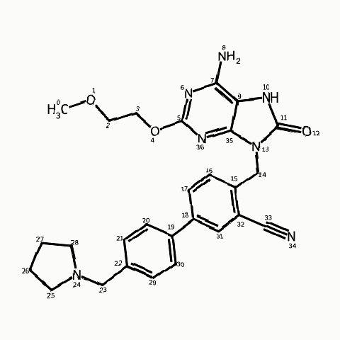 COCCOc1nc(N)c2[nH]c(=O)n(Cc3ccc(-c4ccc(CN5CCCC5)cc4)cc3C#N)c2n1